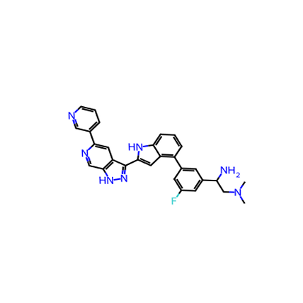 CN(C)CC(N)c1cc(F)cc(-c2cccc3[nH]c(-c4n[nH]c5cnc(-c6cccnc6)cc45)cc23)c1